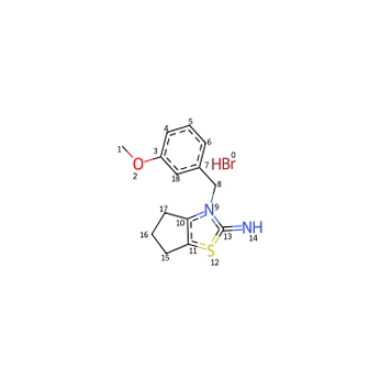 Br.COc1cccc(Cn2c3c(sc2=N)CCC3)c1